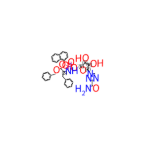 NC(=O)c1ncn([C@@H]2O[C@H](COP(=O)(N[C@@H](Cc3ccccc3)C(=O)OCc3ccccc3)Oc3cccc4ccccc34)[C@@H](O)[C@H]2O)n1